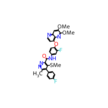 COc1cc2nccc(Oc3ccc(NC(=O)c4nnc(C)c(-c5ccc(F)cc5)c4SC)cc3F)c2nc1OC